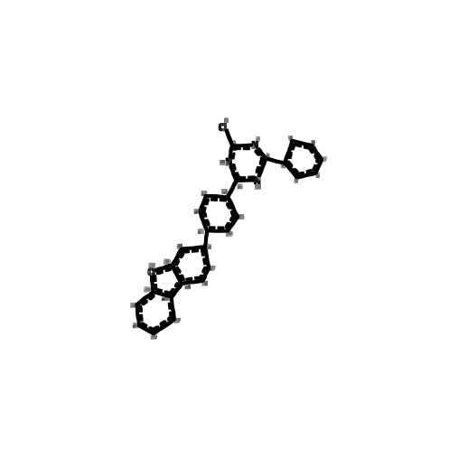 Clc1nc(-c2ccccc2)nc(-c2ccc(-c3ccc4c(c3)oc3ccccc34)cc2)n1